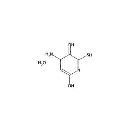 N=C1C(S)=NC(O)=CC1N.O